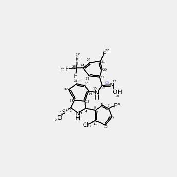 O=[S+]C1NC(c2cc(F)ccc2Cl)c2c(N/C(=N\O)c3cc(F)cc(C(F)(F)F)c3)cccc21